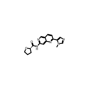 Cn1cncc1-c1ccc2cnc(NC(=O)[C@H]3CCCO3)cc2n1